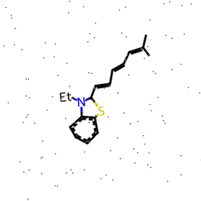 CCN1c2ccccc2SC1/C=C/C=C/C=C(C)C